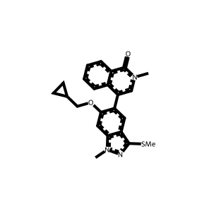 CSc1nn(C)c2cc(OCC3CC3)c(-c3cn(C)c(=O)c4ccccc34)cc12